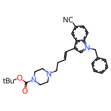 CC(C)(C)OC(=O)N1CCN(CC/C=C/c2cn(Cc3ccccc3)c3ccc(C#N)cc23)CC1